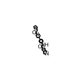 O=C(CN1CCCC1)N1CC=C(c2ccc(NC(=O)N3Cc4ccncc4C3)cc2)CC1